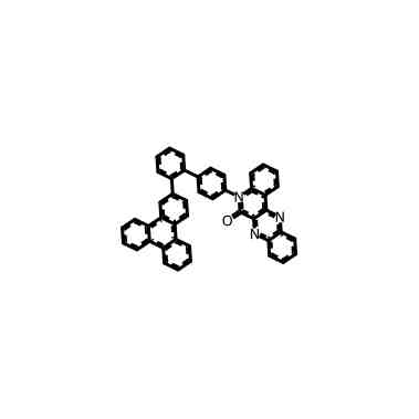 O=c1c2nc3ccccc3nc2c2ccccc2n1-c1ccc(-c2ccccc2-c2ccc3c4ccccc4c4ccccc4c3c2)cc1